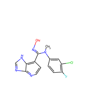 CN(C(=NO)c1ccnc2nc[nH]c12)c1ccc(F)c(Cl)c1